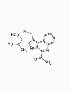 CC(C)Cn1cnc2c(C(N)=O)nc3ccccc3c21.CN(C)CC(=O)O